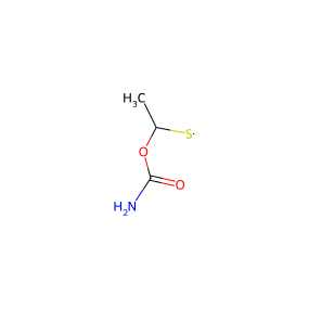 CC([S])OC(N)=O